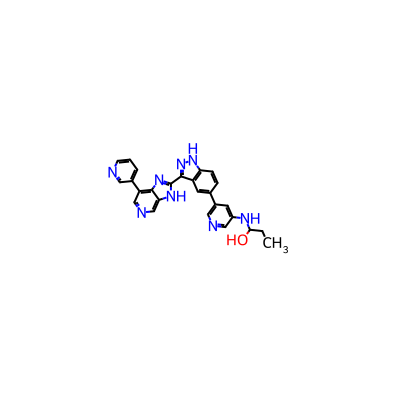 CCC(O)Nc1cncc(-c2ccc3[nH]nc(-c4nc5c(-c6cccnc6)cncc5[nH]4)c3c2)c1